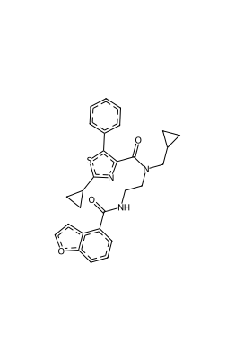 O=C(NCCN(CC1CC1)C(=O)c1nc(C2CC2)sc1-c1ccccc1)c1cccc2occc12